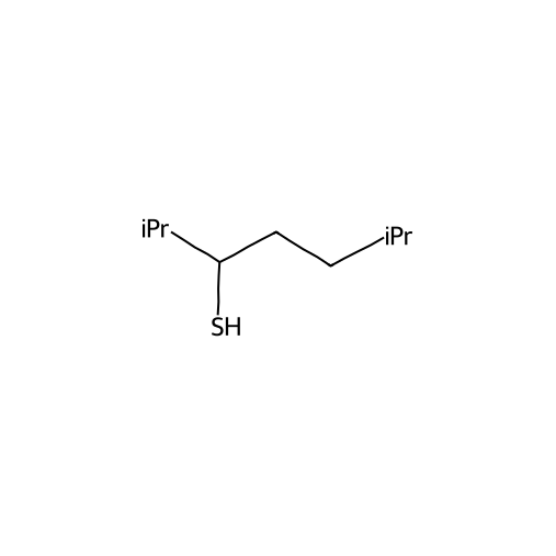 CC(C)CCC(S)C(C)C